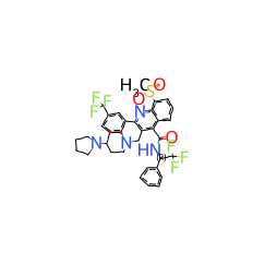 CS(=O)(=O)c1cccc2c(C(=O)N[C@H](c3ccccc3)C(F)(F)F)c(CN3CCC(N4CCCC4)CC3)c(-c3cccc(C(F)(F)F)c3)nc12